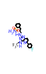 NS(=O)(=O)c1ccccc1CCCNc1nc(NCC(F)(F)F)c2nc(-c3ccc(F)cc3)ccc2n1